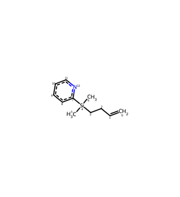 C=CCC[Si](C)(C)c1ccccn1